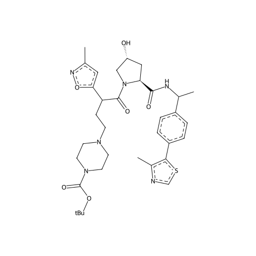 Cc1cc(C(CCN2CCN(C(=O)OC(C)(C)C)CC2)C(=O)N2C[C@H](O)C[C@H]2C(=O)NC(C)c2ccc(-c3scnc3C)cc2)on1